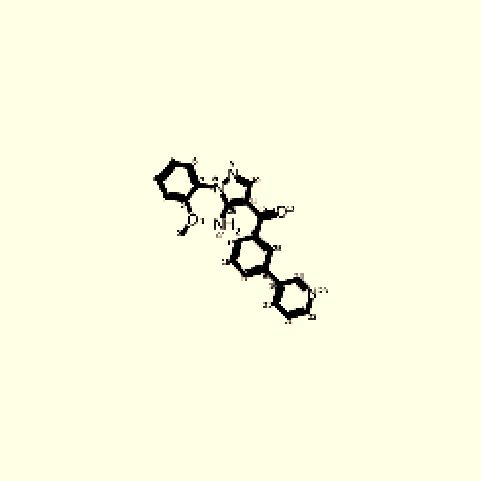 COc1ccccc1-n1ncc(C(=O)c2cccc(-c3cccnc3)c2)c1N